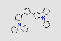 c1ccc(-n2c3ccccc3c3cc(-c4cccc(-c5cccc(-n6c7ccccc7c7ccccc76)c5)c4)ccc32)cc1